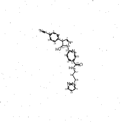 N#Cc1ccc(C2C=NN(c3ccc(C(=O)NCCCn4cccn4)cn3)C2O)cc1